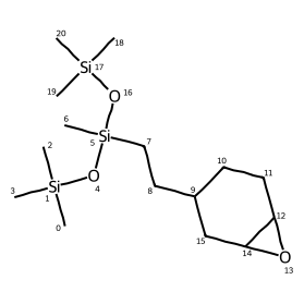 C[Si](C)(C)O[Si](C)(CCC1CCC2OC2C1)O[Si](C)(C)C